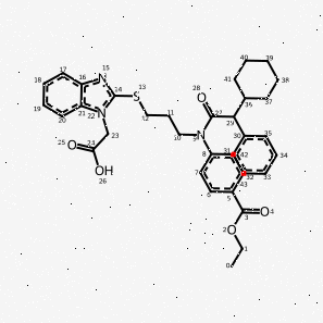 CCOC(=O)c1ccc(N(CCCSc2nc3ccccc3n2CC(=O)O)C(=O)C(c2ccccc2)C2CCCCC2)cc1